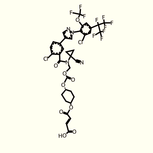 N#CC1(N(COC(=O)O[C@H]2CC[C@H](OC(=O)/C=C/C(=O)O)CC2)C(=O)c2cc(-c3cnn(-c4c(Cl)cc(C(F)(C(F)(F)F)C(F)(F)F)cc4OC(F)(F)F)c3)ccc2Cl)CC1